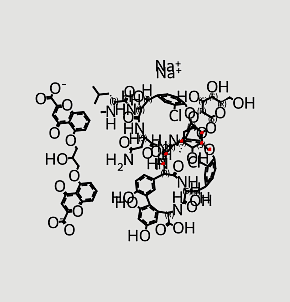 CN[C@H](CC(C)C)C(=O)N[C@H]1C(=O)N[C@@H](CC(N)=O)C(=O)N[C@H]2C(=O)N[C@H]3C(=O)N[C@H](C(=O)N[C@@H](C(=O)O)c4cc(O)cc(O)c4-c4cc3ccc4O)[C@H](O)c3ccc(c(Cl)c3)Oc3cc2cc(c3O[C@@H]2O[C@H](CO)[C@@H](O)[C@H](O)[C@H]2O[C@H]2C[C@](C)(N)C(O)[C@H](C)O2)Oc2ccc(cc2Cl)[C@H]1O.O=C([O-])c1cc(=O)c2c(OCC(O)COc3cccc4oc(C(=O)[O-])cc(=O)c34)cccc2o1.[Na+].[Na+]